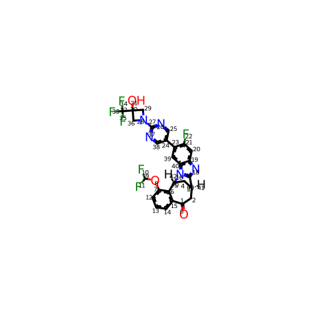 O=C1C[C@H]2C[C@H](c3c(OC(F)F)cccc31)n1c2nc2cc(F)c(-c3cnc(N4CC(O)(C(F)(F)F)C4)nc3)cc21